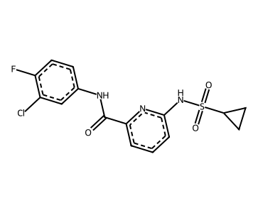 O=C(Nc1ccc(F)c(Cl)c1)c1cccc(NS(=O)(=O)C2CC2)n1